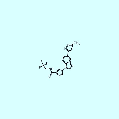 Cn1cnc(-c2cnc3c(-c4csc(C(=O)NCC(F)(F)F)c4)cnn3c2)c1